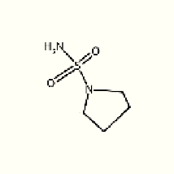 NS(=O)(=O)N1[CH]CCC1